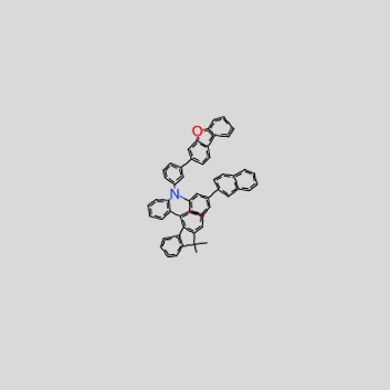 CC1(C)c2ccccc2-c2c(-c3ccccc3N(c3cccc(-c4ccc5ccccc5c4)c3)c3cccc(-c4ccc5c(c4)oc4ccccc45)c3)cccc21